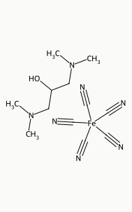 CN(C)CC(O)CN(C)C.N#[C][Fe]([C]#N)([C]#N)([C]#N)[C]#N